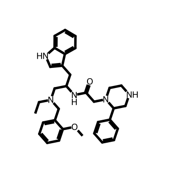 CCN(Cc1ccccc1OC)CC(Cc1c[nH]c2ccccc12)NC(=O)CN1CCNCC1c1ccccc1